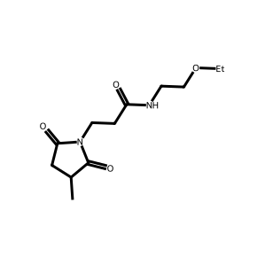 CCOCCNC(=O)CCN1C(=O)CC(C)C1=O